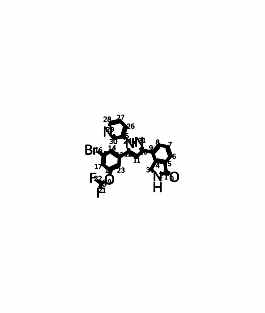 O=C1NCc2c1cccc2-c1cc(-c2cc(Br)cc(OC(F)F)c2)n(-c2cccnc2)n1